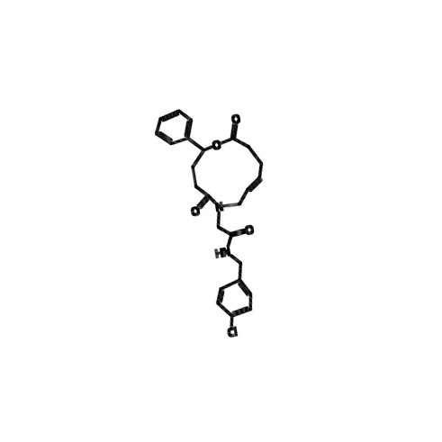 O=C(CN1C/C=C/CCC(=O)OC(c2ccccc2)CCC1=O)NCc1ccc(Cl)cc1